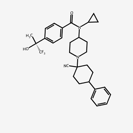 C[C@](O)(c1ccc(C(=O)N(C2CC2)C2CCN(C3(C#N)CCC(c4ccccc4)CC3)CC2)cc1)C(F)(F)F